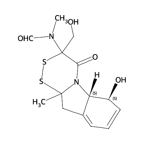 CN(C=O)C1(CO)SSC2(C)CC3=CC=C[C@H](O)[C@H]3N2C1=O